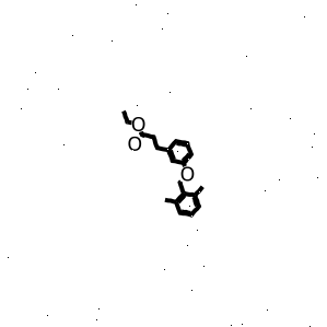 CCOC(=O)CCc1cccc(OCc2c(C)cccc2C)c1